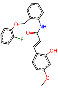 COc1ccc(C=CC(=O)Nc2ccccc2COc2ccccc2F)c(O)c1